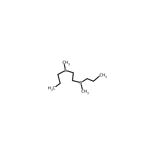 CCCB(C)CCB(C)CCC